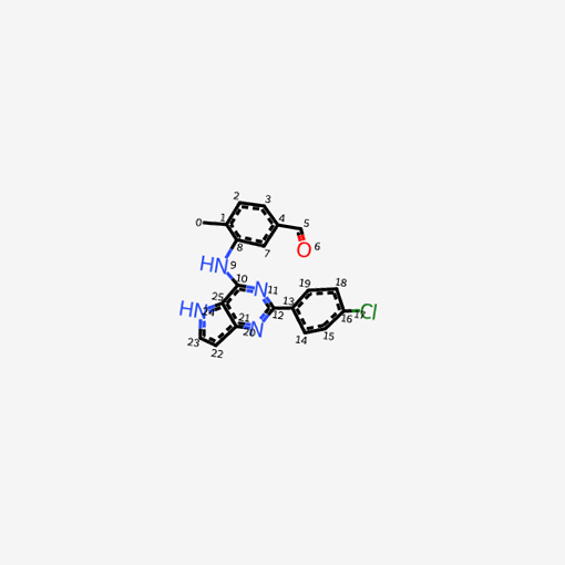 Cc1ccc(C=O)cc1Nc1nc(-c2ccc(Cl)cc2)nc2cc[nH]c12